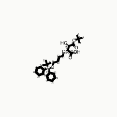 CC(C)(C)OC(=O)[C@H](O)[C@@H](OCC=CCO[Si](c1ccccc1)(c1ccccc1)C(C)(C)C)C(=O)O